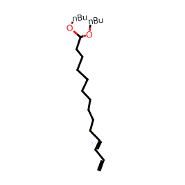 C=C/C=C/CCCCCCCCCC(OCCCC)OCCCC